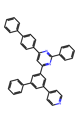 c1ccc(-c2ccc(-c3cc(-c4cc(-c5ccccc5)cc(-c5ccncc5)c4)nc(-c4ccccc4)n3)cc2)cc1